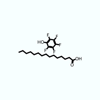 CCCCCCCCCCCCCCC(=O)O.Oc1c(F)c(F)c(F)c(F)c1F